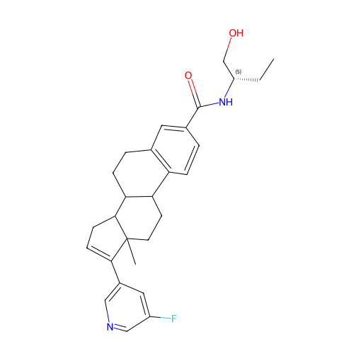 CC[C@@H](CO)NC(=O)c1ccc2c(c1)CCC1C2CCC2(C)C(c3cncc(F)c3)=CCC12